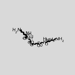 NCCCC[C@H](N)C(=O)NCCC(=O)OC(=O)CCC(=O)OC(=O)CCNC(=O)[C@@H](N)CCCCN